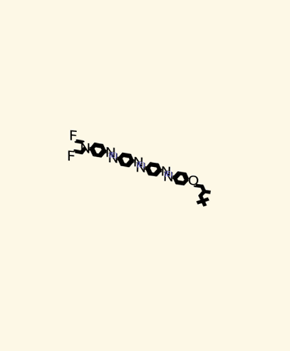 CC(CCOc1ccc(/N=N/c2ccc(/N=N/c3ccc(/N=N/c4ccc(N(CCF)CCF)cc4)cc3)cc2)cc1)CC(C)(C)C